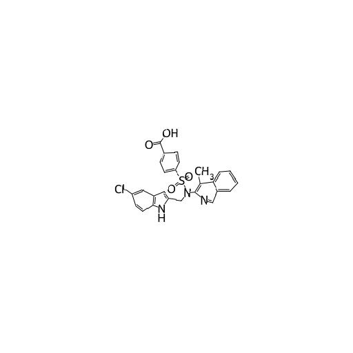 Cc1c(N(Cc2cc3cc(Cl)ccc3[nH]2)S(=O)(=O)c2ccc(C(=O)O)cc2)ncc2ccccc12